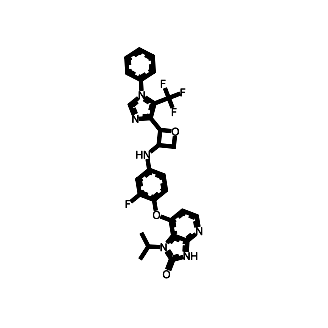 CC(C)n1c(=O)[nH]c2nccc(Oc3ccc(NC4COC4c4ncn(-c5ccccc5)c4C(F)(F)F)cc3F)c21